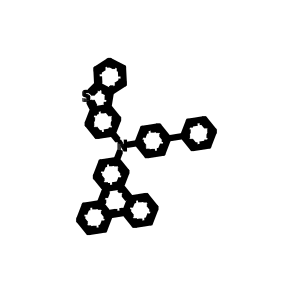 c1ccc(-c2ccc(N(c3ccc4sc5ccccc5c4c3)c3ccc4c5ccccc5c5ccccc5c4c3)cc2)cc1